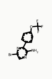 Nc1ncc(Br)nc1-c1ccc(OC(F)(F)F)cc1